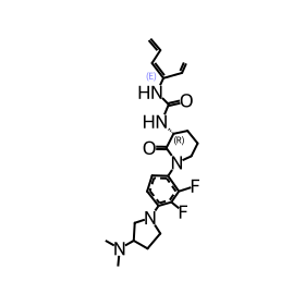 C=C/C=C(\C=C)NC(=O)N[C@@H]1CCCN(c2ccc(N3CCC(N(C)C)C3)c(F)c2F)C1=O